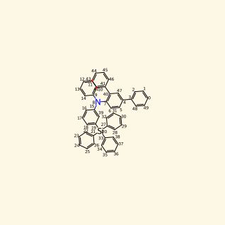 c1ccc(-c2ccc(N(c3ccccc3)c3cccc([Si](c4ccccc4)(c4ccccc4)c4ccccc4)c3)c(-c3ccccc3)c2)cc1